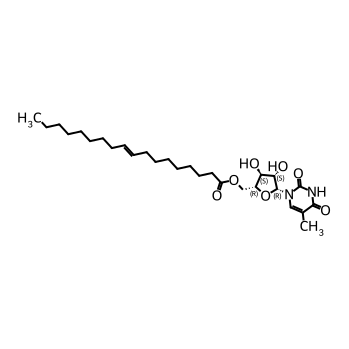 CCCCCCCCC=CCCCCCCCC(=O)OC[C@H]1O[C@@H](n2cc(C)c(=O)[nH]c2=O)[C@@H](O)[C@@H]1O